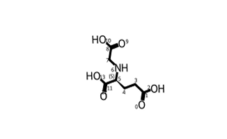 O=C(O)CC[C@H](NCC(=O)O)C(=O)O